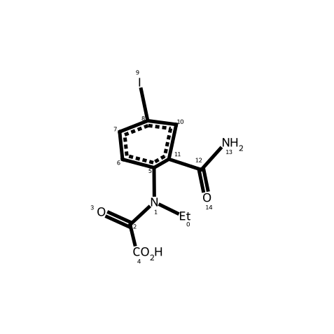 CCN(C(=O)C(=O)O)c1ccc(I)cc1C(N)=O